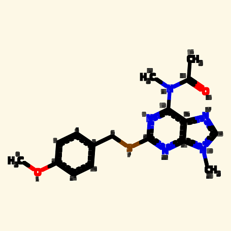 COc1ccc(CSc2nc(N(C)C(C)=O)c3ncn(C)c3n2)cc1